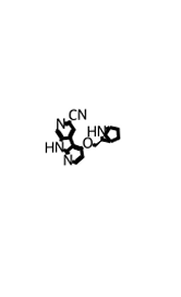 N#Cc1cc2c(cn1)[nH]c1nccc(OC[C@H]3NC4CCC3C4)c12